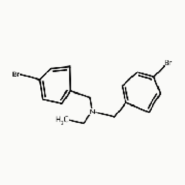 CCN(Cc1ccc(Br)cc1)Cc1ccc(Br)cc1